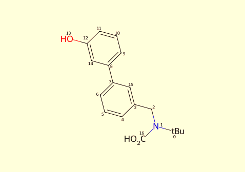 CC(C)(C)N(Cc1cccc(-c2cccc(O)c2)c1)C(=O)O